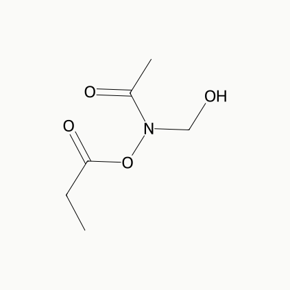 CCC(=O)ON(CO)C(C)=O